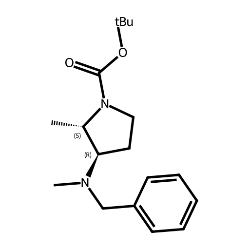 C[C@H]1[C@H](N(C)Cc2ccccc2)CCN1C(=O)OC(C)(C)C